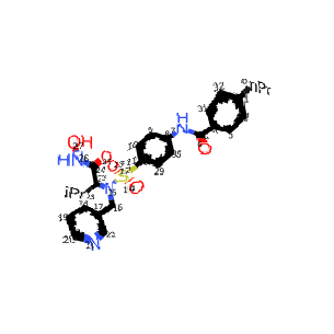 CCCc1ccc(C(=O)Nc2ccc(S(=O)(=O)N(Cc3cccnc3)C(C(=O)NO)C(C)C)cc2)cc1